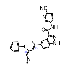 C=N/C=C(\C=C(/C)c1ccc2[nH]nc(C(=O)Nc3ccc(C#N)nc3)c2c1)Oc1ccccc1